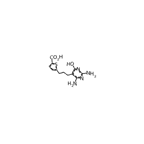 Nc1nc(N)c(CCCc2ccc(C(=O)O)s2)c(O)n1